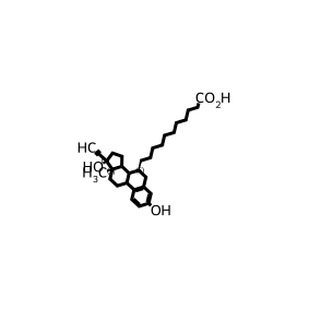 C#C[C@]1(O)CCC2C3C(CC[C@@]21C)c1ccc(O)cc1C[C@@H]3CCCCCCCCCCC(=O)O